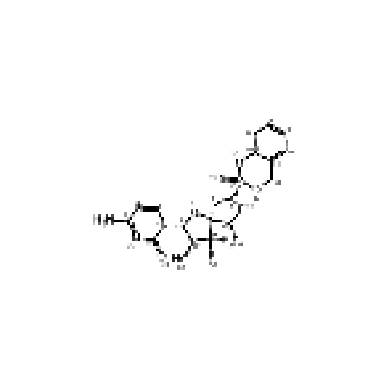 Nc1ccn([C@@H]2O[C@@](COP3(=S)OCc4ccccc4O3)(C(F)F)C(F)(F)[C@H]2O)c(=O)n1